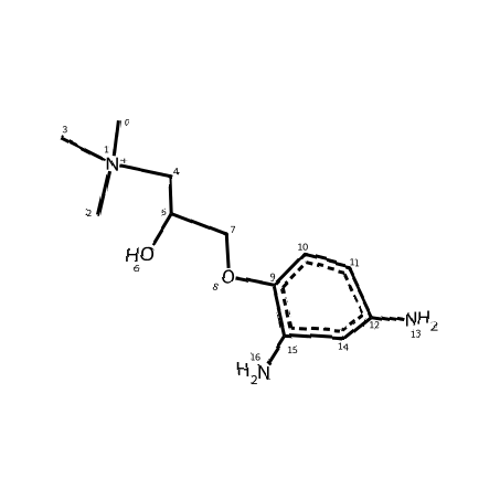 C[N+](C)(C)CC(O)COc1ccc(N)cc1N